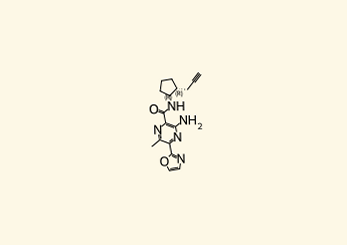 C#CC[C@H]1CCC[C@H]1NC(=O)c1nc(C)c(-c2ncco2)nc1N